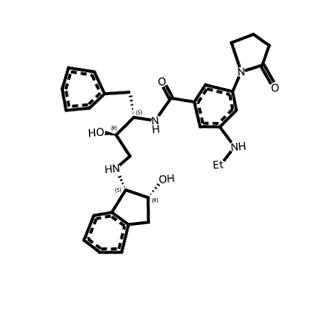 CCNc1cc(C(=O)N[C@@H](Cc2ccccc2)[C@H](O)CN[C@H]2c3ccccc3C[C@H]2O)cc(N2CCCC2=O)c1